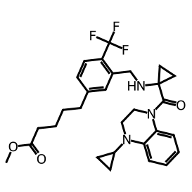 COC(=O)CCCCc1ccc(C(F)(F)F)c(CNC2(C(=O)N3CCN(C4CC4)c4ccccc43)CC2)c1